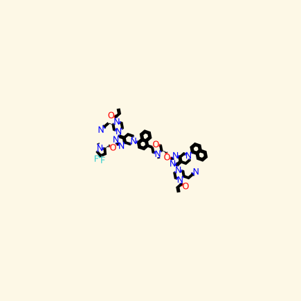 C=CC(=O)N1CCN(c2nc(OC[C@H]3COC(c4ccc(N5CCc6c(nc(OC[C@@H]7CC(F)(F)CN7C)nc6N6CCN(C(=O)C=C)[C@@H](CC#N)C6)C5)c5ccccc45)CN3C)nc3c2CCN(c2cccc4ccccc24)C3)CC1CC#N